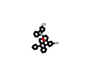 N#Cc1ccc(-c2c3ccccc3c(-c3ccccc3)c3ccccc23)c(-c2ccc(-n3c4ccccc4c4cc(C#N)ccc43)cc2)c1